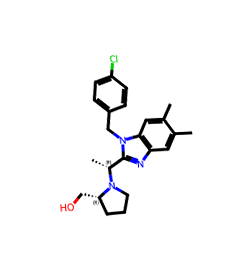 Cc1cc2nc([C@@H](C)N3CCC[C@@H]3CO)n(Cc3ccc(Cl)cc3)c2cc1C